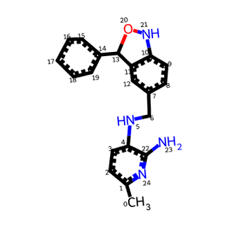 Cc1ccc(NCc2ccc3c(c2)C(c2ccccc2)ON3)c(N)n1